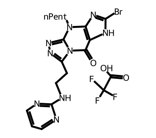 CCCCCn1c2nc(Br)[nH]c2c(=O)n2c(CCNc3ncccn3)nnc12.O=C(O)C(F)(F)F